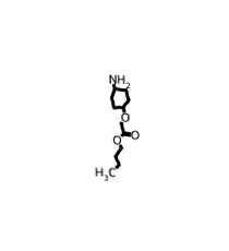 CCCCOC(=O)COC1CCC(N)CC1